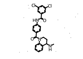 CNC1CCN(C(=O)c2ccc(NC(=O)c3cc(Cl)cc(Cl)c3)cc2)c2ccccc21